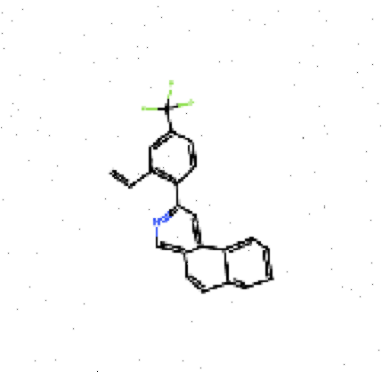 C=Cc1cc(C(F)(F)F)ccc1-c1cc2c(ccc3ccccc32)cn1